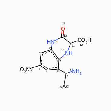 CC(=O)C(N)c1cc([N+](=O)[O-])cc2c1NC(C(=O)O)C(=O)N2